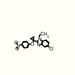 CCn1c(C2(Oc3ccc([N+](=O)[O-])cc3)CC2)nc2cc(Cl)ccc21